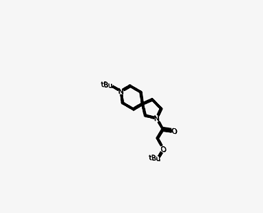 CC(C)(C)OCC(=O)N1CCC2(CCN(C(C)(C)C)CC2)C1